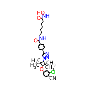 CC1(C)C(Oc2ccc(C#N)c(Cl)c2)C(C)(C)C1n1cc(-c2ccc(C(=O)NCCCCCCC(=O)NO)cc2)nn1